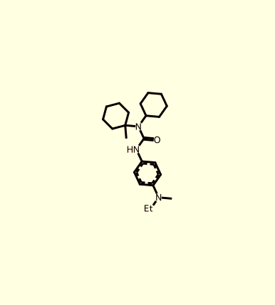 CCN(C)c1ccc(NC(=O)N(C2CCCCC2)C2(C)CCCCC2)cc1